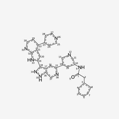 O=C(Cc1ccccc1)Nc1cncc(-c2cc3c(-c4cc5c(-c6ccncc6)ccnc5[nH]4)n[nH]c3cn2)c1